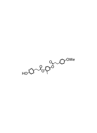 COc1ccc(CCC(=O)Oc2ccc(OC(=O)CCc3ccc(O)cc3)c(C)c2)cc1